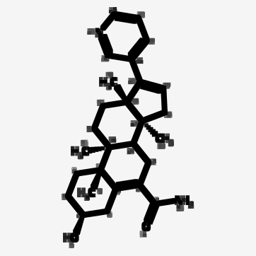 C[C@]12CC[C@H](O)CC1=C(C(N)=O)CC1[C@]2(C)CC[C@]2(C)C(c3cccnc3)=CC[C@@]12C